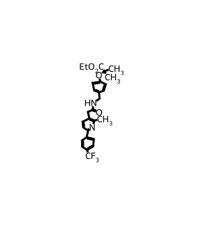 CCOC(=O)C(C)(C)Oc1ccc(CNC(=O)Cc2ccc(-c3ccc(C(F)(F)F)cc3)nc2C)cc1